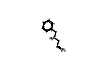 C=CC[SiH2]Cc1ccccc1